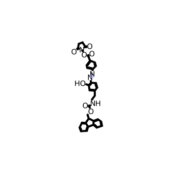 O=C(NCCc1ccc(/N=N/c2ccc(C(=O)ON3C(=O)CCC3=O)cc2)c(O)c1)OCC1c2ccccc2-c2ccccc21